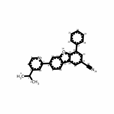 CC(C)c1ccnc(-c2ccc3c(c2)oc2c(-c4ccccc4)cc(C#N)cc23)c1